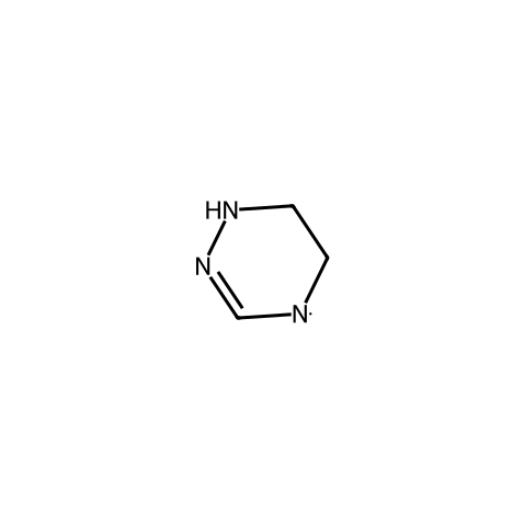 C1=NNCC[N]1